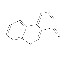 O=c1cccc2c3ccccc3[nH]cc1-2